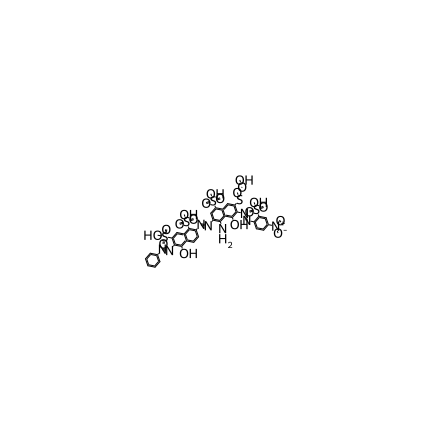 Nc1c(N=Nc2ccc3c(O)c(N=Nc4ccccc4)c(S(=O)(=O)O)cc3c2S(=O)(=O)O)cc(S(=O)(=O)O)c2cc(SOOO)c(N=Nc3ccc([N+](=O)[O-])cc3S(=O)(=O)O)c(O)c12